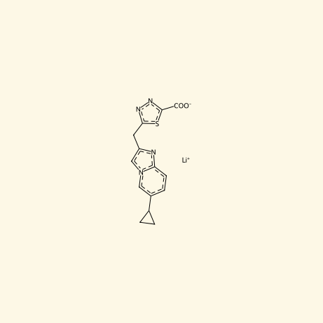 O=C([O-])c1nnc(Cc2cn3cc(C4CC4)ccc3n2)s1.[Li+]